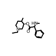 CCN1CCC(C)[C@@H](OC(=O)C(NC)c2ccccc2)C1